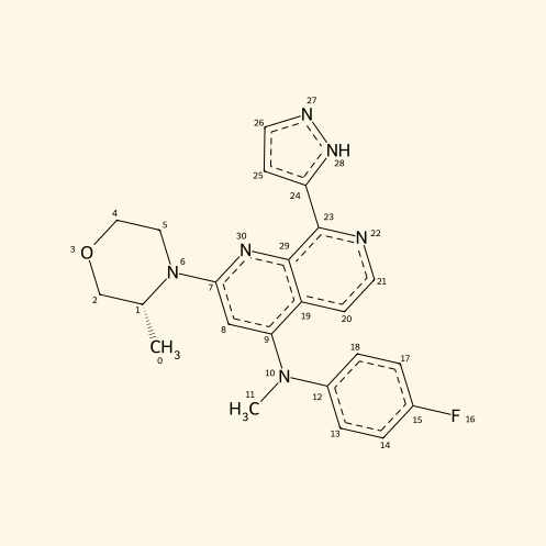 C[C@@H]1COCCN1c1cc(N(C)c2ccc(F)cc2)c2ccnc(-c3ccn[nH]3)c2n1